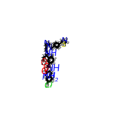 NC(=O)[C@H](Cc1ccc(Cl)cc1)NC(=O)c1cccc2c1OCCC2NCc1cncn1Cc1ccc(-c2cncs2)cc1